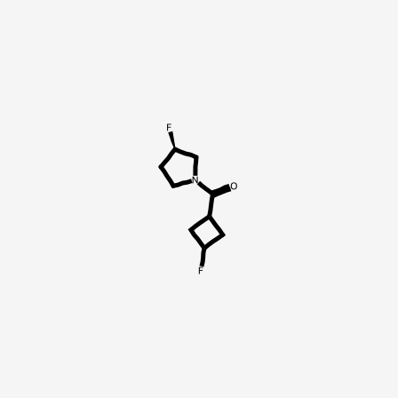 O=C(C1CC(F)C1)N1CC[C@@H](F)C1